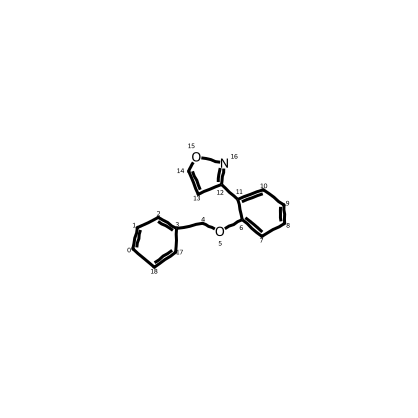 c1ccc(COc2ccccc2-c2ccon2)cc1